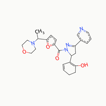 CC(c1ccc(C(=O)N2N=C(c3cccnc3)CC2C2=C(O)CCC=C2)o1)N1CCOCC1